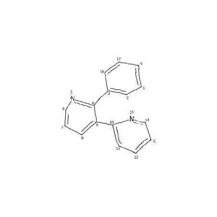 c1ccc(-c2ncccc2-c2ccccn2)cc1